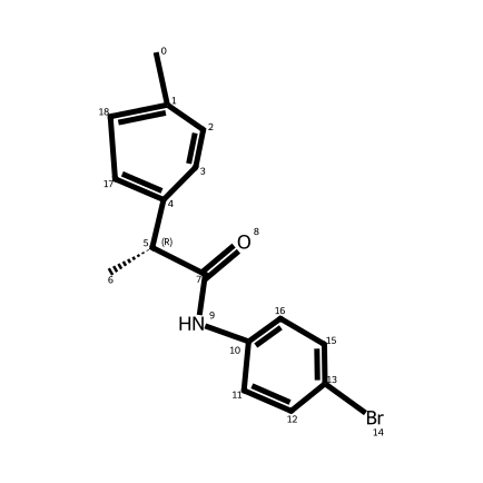 Cc1ccc([C@@H](C)C(=O)Nc2ccc(Br)cc2)cc1